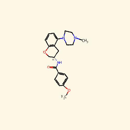 CN1CCN(c2cccc3c2C[C@H](NC(=O)c2ccc(OC(F)(F)F)cc2)CO3)CC1